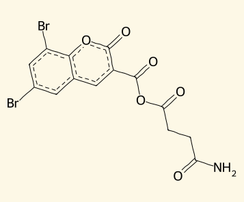 NC(=O)CCC(=O)OC(=O)c1cc2cc(Br)cc(Br)c2oc1=O